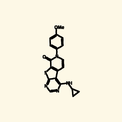 COc1ccc(-n2ccc3c(sc4ncnc(NC5CC5)c43)c2=O)cc1